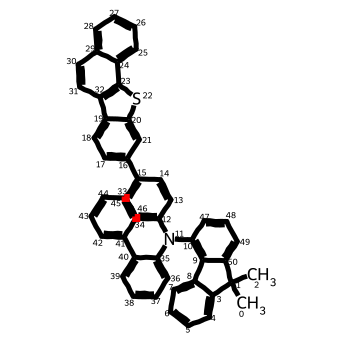 CC1(C)c2ccccc2-c2c(N(c3ccc(-c4ccc5c(c4)sc4c6ccccc6ccc54)cc3)c3ccccc3-c3ccccc3)cccc21